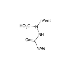 CCCCCN(NC(=O)NC)C(=O)O